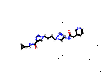 O=C(Cc1cccnc1)Nc1cn(CCCCn2cc(C(=O)NCC3CC3)nn2)nn1